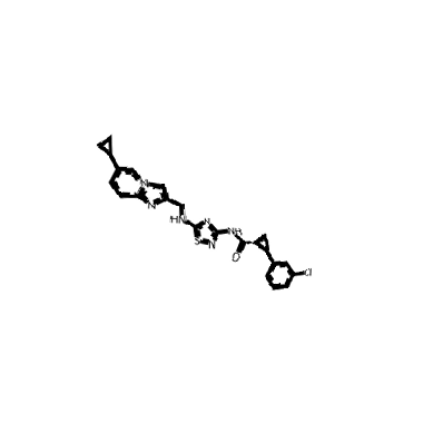 O=C(Nc1nsc(NCc2cn3cc(C4CC4)ccc3n2)n1)[C@H]1CC1c1cccc(Cl)c1